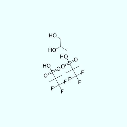 CC(C)(C(F)(F)F)S(=O)(=O)O.CC(C)(C(F)(F)F)S(=O)(=O)O.CC(O)CO